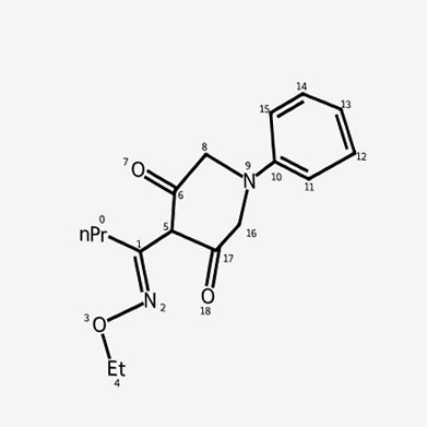 CCCC(=NOCC)C1C(=O)CN(c2ccccc2)CC1=O